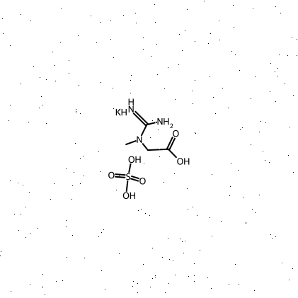 CN(CC(=O)O)C(=N)N.O=S(=O)(O)O.[KH]